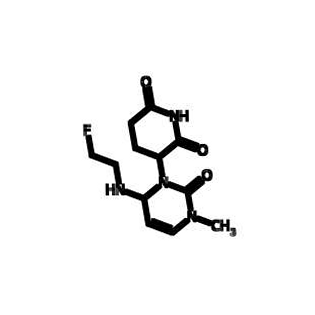 CN1C=CC(NCCF)N(C2CCC(=O)NC2=O)C1=O